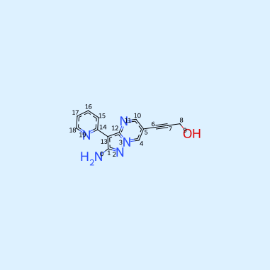 Nc1nn2cc(C#CCO)cnc2c1-c1ccccn1